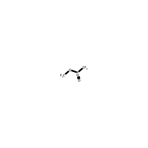 O=[PH](OC(F)(F)F)C(F)(F)F